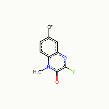 Cn1c(=O)c(F)nc2cc(C(F)(F)F)ccc21